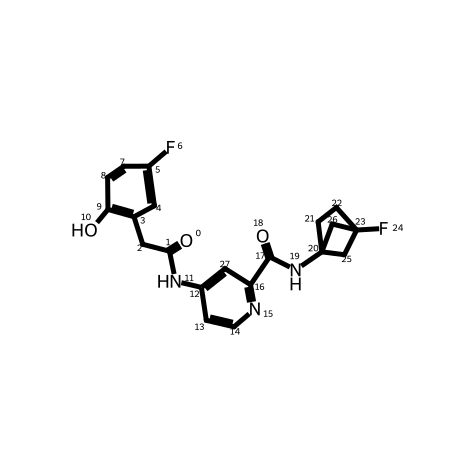 O=C(Cc1cc(F)ccc1O)Nc1ccnc(C(=O)NC23CCC(F)(C2)C3)c1